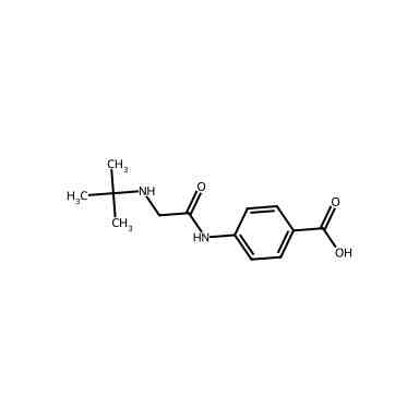 CC(C)(C)NCC(=O)Nc1ccc(C(=O)O)cc1